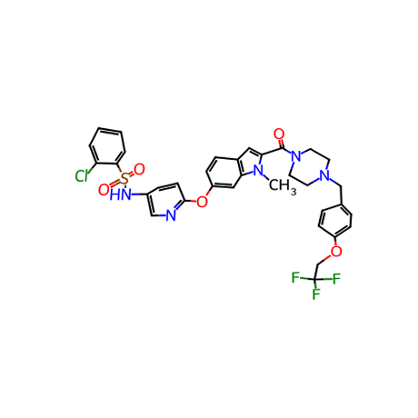 Cn1c(C(=O)N2CCN(Cc3ccc(OCC(F)(F)F)cc3)CC2)cc2ccc(Oc3ccc(NS(=O)(=O)c4ccccc4Cl)cn3)cc21